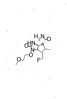 COCCOn1c2c([nH]c1=O)[C@H](C(N)=O)C(C)C2CF